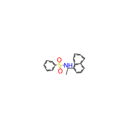 CC(NS(=O)(=O)c1ccccc1)c1cccc2ccccc12